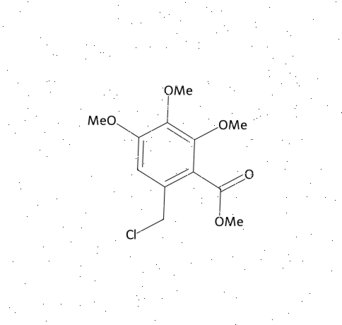 COC(=O)c1c(CCl)cc(OC)c(OC)c1OC